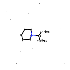 CCCCCCC(CCCCCC)N1CCCCC1